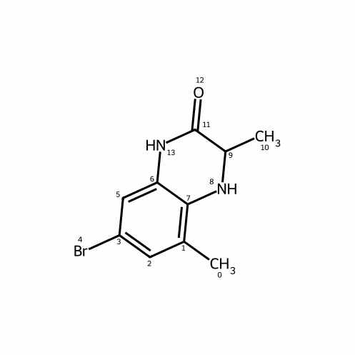 Cc1cc(Br)cc2c1NC(C)C(=O)N2